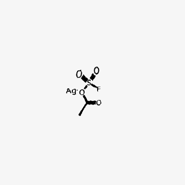 CC(=O)OS(=O)(=O)F.[Ag]